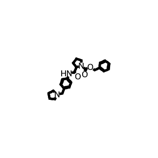 O=C(Nc1ccc(CN2CCCC2)cc1)C1CCCN1C(=O)OCc1ccccc1